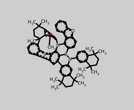 Cc1cc2c3cc1N1c4c5c(cc6c4sc4c(cccc46)C3(C)CCC2(C)C)-c2cc3c(cc2N(c2ccc4c(c2)C(C)(C)CCC4(C)C)B5c2ccc4oc5ccccc5c4c21)C(C)(C)CCC3(C)C